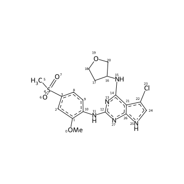 COc1cc(S(C)(=O)=O)ccc1Nc1nc(NC2CCOC2)c2c(Cl)c[nH]c2n1